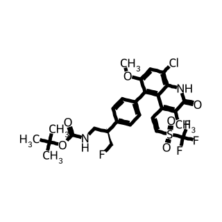 COc1cc(Cl)c2[nH]c(=O)c(C)c(/C=C\S(=O)(=O)C(F)(F)F)c2c1-c1ccc([C@@H](CF)CNC(=O)OC(C)(C)C)cc1